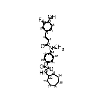 CN(C(=O)/C=C/c1ccc(O)c(F)c1)c1ccc(S(=O)(=O)NC2CCCCCC2)cc1